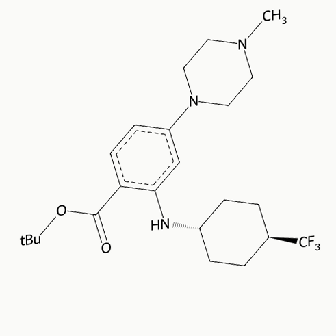 CN1CCN(c2ccc(C(=O)OC(C)(C)C)c(N[C@H]3CC[C@H](C(F)(F)F)CC3)c2)CC1